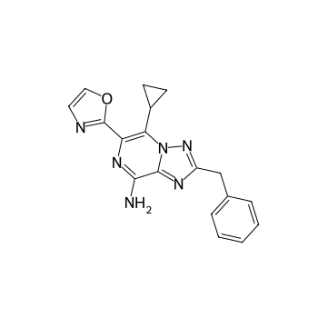 Nc1nc(-c2ncco2)c(C2CC2)n2nc(Cc3ccccc3)nc12